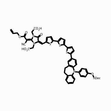 C=CCOC(=O)/C(C#N)=c1\n(CC(=O)O)c(=O)/c(=C\c2ccc(-c3ccc(-c4ccc(-c5ccc6c(c5)CCc5ccccc5N6c5ccc(OCCCCCCCCCC)cc5)s4)s3)s2)n1CC(=O)O